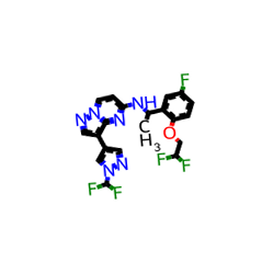 CC(Nc1ccn2ncc(-c3cnn(C(F)F)c3)c2n1)c1cc(F)ccc1OCC(F)F